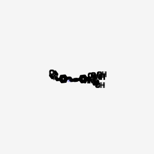 CC(C)(O)C(NC(=O)c1ccc(C#C/C=C/c2ccc(CN3CCOCC3)cc2)cc1)C(=O)NO